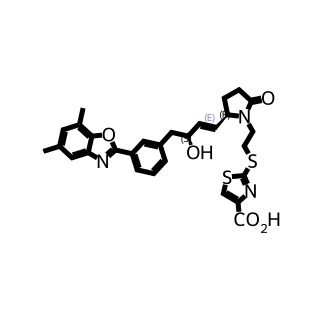 Cc1cc(C)c2oc(-c3cccc(C[C@H](O)/C=C/[C@H]4CCC(=O)N4CCSc4nc(C(=O)O)cs4)c3)nc2c1